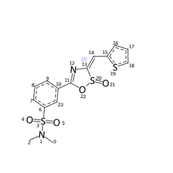 CN(C)S(=O)(=O)c1cccc(C2=N/C(=C/c3cccs3)S(=O)O2)c1